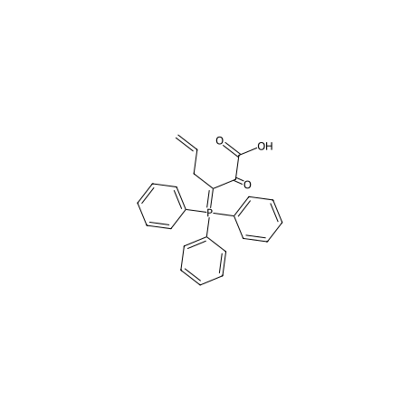 C=CCC(C(=O)C(=O)O)=P(c1ccccc1)(c1ccccc1)c1ccccc1